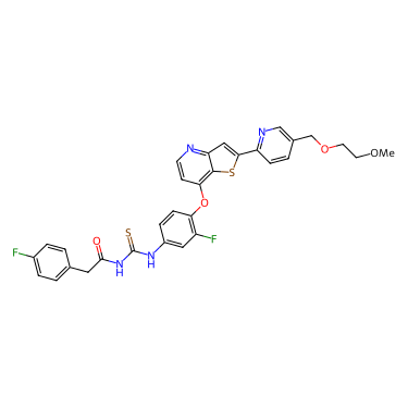 COCCOCc1ccc(-c2cc3nccc(Oc4ccc(NC(=S)NC(=O)Cc5ccc(F)cc5)cc4F)c3s2)nc1